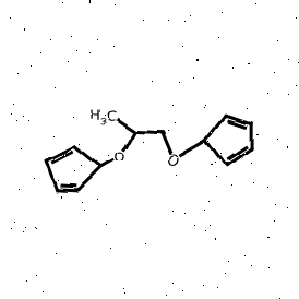 CC(COC1C=CC=C1)OC1C=CC=C1